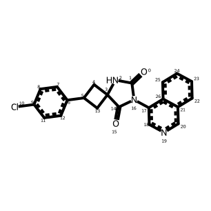 O=C1NC2(CC(c3ccc(Cl)cc3)C2)C(=O)N1c1cncc2ccccc12